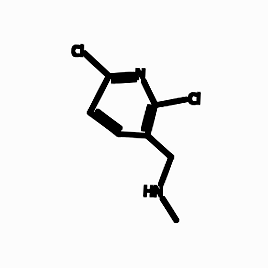 CNCc1ccc(Cl)nc1Cl